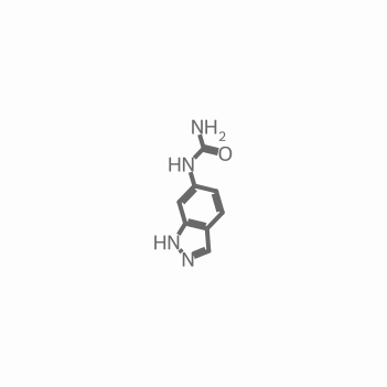 NC(=O)Nc1ccc2cn[nH]c2c1